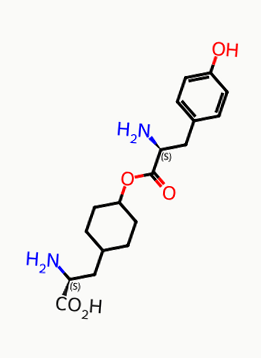 N[C@@H](CC1CCC(OC(=O)[C@@H](N)Cc2ccc(O)cc2)CC1)C(=O)O